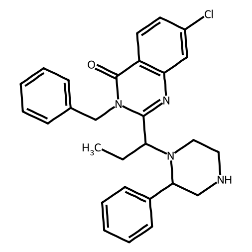 CCC(c1nc2cc(Cl)ccc2c(=O)n1Cc1ccccc1)N1CCNCC1c1ccccc1